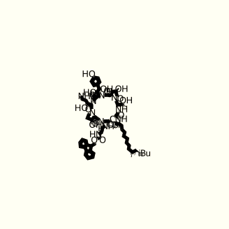 CC[C@H](C)C[C@H](C)CCCCCCCCC(=O)N[C@H]1C[C@@H](O)[C@@H](NCCNC(=O)OCC2c3ccccc3-c3ccccc32)NC(=O)[C@@H]2[C@@H](O)CCN2C(=O)[C@H]([C@H](O)CCN)NC(=O)[C@H]([C@H](O)[C@@H](O)c2ccc(O)cc2)NC(=O)[C@@H]2C[C@@H](O)CN2C(=O)[C@H]([C@@H](C)O)NC1=O